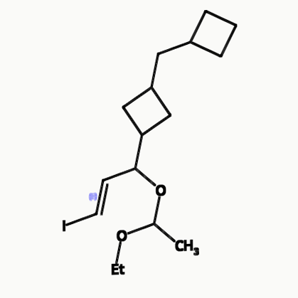 CCOC(C)OC(/C=C/I)C1CC(CC2CCC2)C1